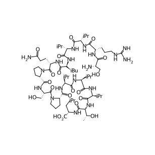 CC[C@H](C)[C@H](NC(=O)[C@@H](NC(=O)[C@@H](NC(=O)[C@H](CCCNC(=N)N)NC(=O)[C@@H](N)CO)C(C)C)C(C)C)C(=O)N[C@@H](CCC(N)=O)C(=O)N1CCC[C@H]1C(=O)N[C@@H](CO)C(=O)N1CCC[C@H]1C(=O)N[C@H](C(=O)N[C@H](C(=O)N[C@H](C(=O)N[C@H](C(=O)N[C@@H](CC(C)C)C(=O)O)[C@@H](C)O)C(C)C)C(C)C)C(C)C